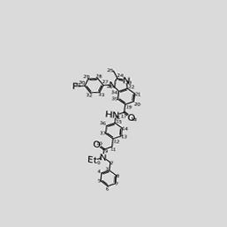 CCN(Cc1ccccc1)C(=O)Cc1ccc(NC(=O)c2ccc3nc(C)n(-c4ccc(F)cc4)c3c2)cc1